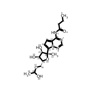 CCCC(=O)Nc1ncnn2c([C@]3(C)O[C@H](COC(C)O)[C@@H](O)[C@H]3O)ccc12